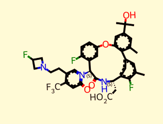 Cc1cc2cc(c1F)[C@H](CC(=O)O)NC(=O)[C@@H](n1cc(CCN3CC(F)C3)c(C(F)(F)F)cc1=O)c1cc(ccc1F)Oc1cc(C(C)(C)O)cc(C)c1-2